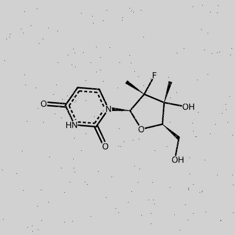 C[C@]1(F)[C@H](n2ccc(=O)[nH]c2=O)O[C@H](CO)[C@@]1(C)O